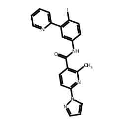 Cc1nc(-n2cccn2)ccc1C(=O)Nc1ccc(I)c(-c2ccccn2)c1